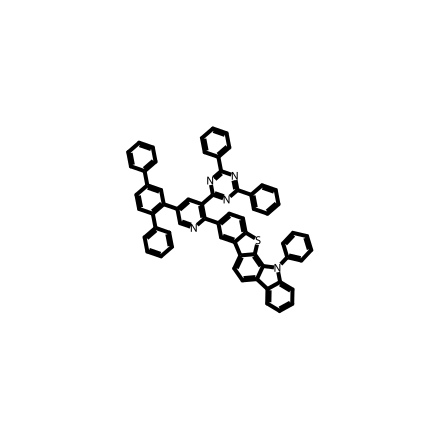 c1ccc(-c2ccc(-c3ccccc3)c(-c3cnc(-c4ccc5sc6c(ccc7c8ccccc8n(-c8ccccc8)c76)c5c4)c(-c4nc(-c5ccccc5)nc(-c5ccccc5)n4)c3)c2)cc1